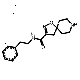 O=C(NCCc1ccccc1)C1=NOC2(CCNCC2)C1